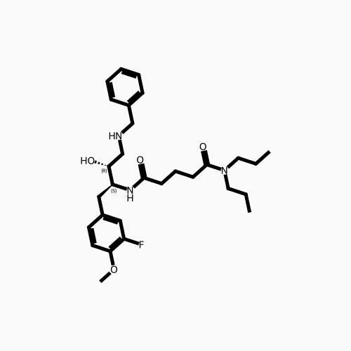 CCCN(CCC)C(=O)CCCC(=O)N[C@@H](Cc1ccc(OC)c(F)c1)[C@H](O)CNCc1ccccc1